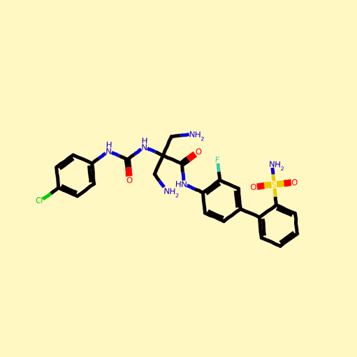 NCC(CN)(NC(=O)Nc1ccc(Cl)cc1)C(=O)Nc1ccc(-c2ccccc2S(N)(=O)=O)cc1F